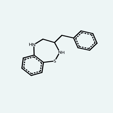 c1ccc(CC2CNc3ccccc3SN2)cc1